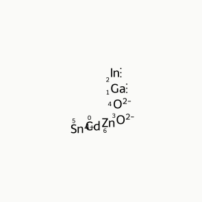 [Cd].[Ga].[In].[O-2].[O-2].[Sn+4].[Zn]